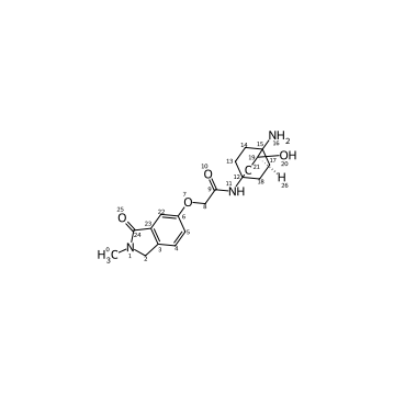 CN1Cc2ccc(OCC(=O)NC34CCC(N)(CC3)[C@@H](O)C4)cc2C1=O